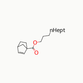 CCCCCCCCCCOC(=O)C12C=CC(CC1)C2